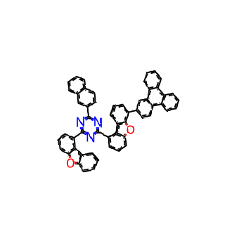 c1ccc2cc(-c3nc(-c4cccc5oc6ccccc6c45)nc(-c4cccc5oc6c(-c7ccc8c9ccccc9c9ccccc9c8c7)cccc6c45)n3)ccc2c1